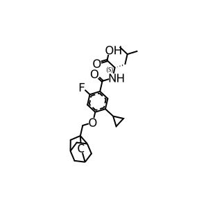 CC(C)C[C@H](NC(=O)c1cc(C2CC2)c(OCC23CC4CC(CC2C4)C3)cc1F)C(=O)O